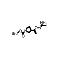 C=C(O/N=C(/C)N)C1CCN(C(=O)OC(C)(C)C)C1